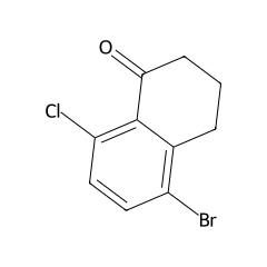 O=C1CCCc2c(Br)ccc(Cl)c21